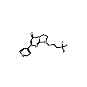 O=c1cc(-c2ccncc2)nc2n1CCN2CCCC(F)(F)F